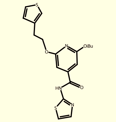 CC(C)COc1cc(C(=O)Nc2nccs2)cc(OCCc2ccsc2)n1